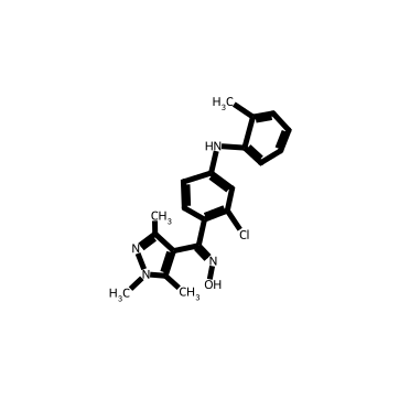 Cc1ccccc1Nc1ccc(/C(=N/O)c2c(C)nn(C)c2C)c(Cl)c1